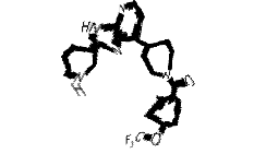 O=C(c1ccc(OC(F)(F)F)cc1)N1CCC(c2ccnc3[nH]c(C4=CCCNC4)nc23)CC1